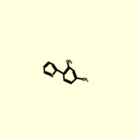 Cc1ccc(-c2cc[c]cn2)c(C)c1